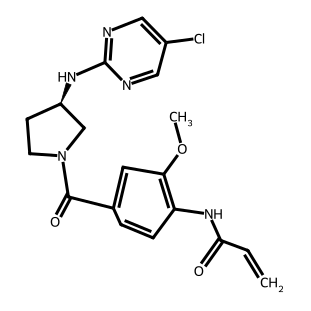 C=CC(=O)Nc1ccc(C(=O)N2CC[C@@H](Nc3ncc(Cl)cn3)C2)cc1OC